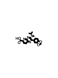 CC(C)N(C)c1nc2nc(C(=O)O)ccc2nc1-c1ccc2c(c1)OCO2